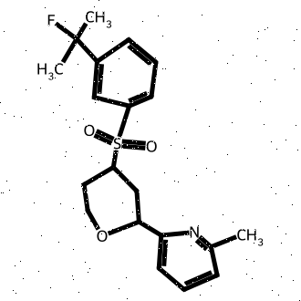 Cc1cccc(C2CC(S(=O)(=O)c3cccc(C(C)(C)F)c3)CCO2)n1